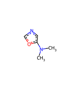 CN(C)c1cnco1